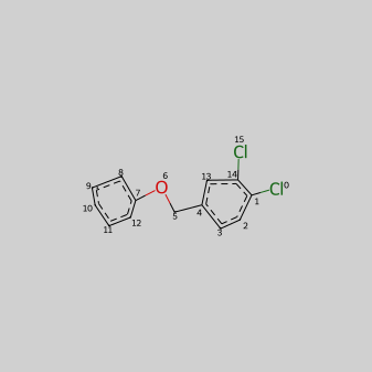 Clc1ccc(COc2c[c]ccc2)cc1Cl